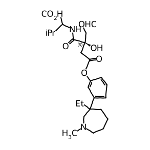 CCC1(c2cccc(OC(=O)C[C@@](O)(CC=O)C(=O)NC(C(=O)O)C(C)C)c2)CCCCN(C)C1